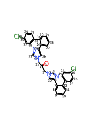 O=C(Cn1cnc(-c2ccccc2-c2ccc(Cl)cc2)c1)Cn1cnc(-c2ccccc2-c2ccc(Cl)cc2)c1